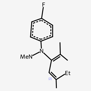 CC/C(C)=C\C(=C(C)C)N(NC)c1ccc(F)cc1